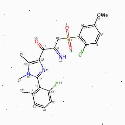 COc1ccc(Cl)c(S(=O)(=O)CC(=N)C(=O)c2nc(-c3c(C)cccc3F)n(C)c2C)c1